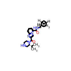 CC(C)[C@@H]1CNCCN1C(=O)c1cn2c(C(=O)NC[C@@H]3CC[C@H]4C[C@H]3C4(C)C)cccc2n1